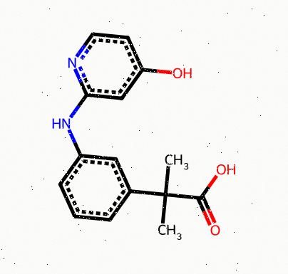 CC(C)(C(=O)O)c1cccc(Nc2cc(O)ccn2)c1